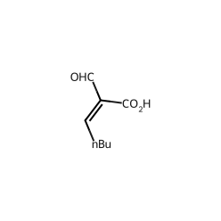 CCCCC=C(C=O)C(=O)O